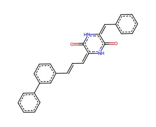 O=c1[nH]c(=Cc2ccccc2)c(=O)[nH]c1=CC=Cc1cccc(-c2ccccc2)c1